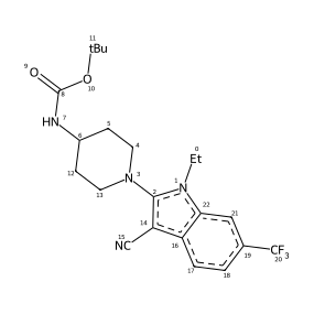 CCn1c(N2CCC(NC(=O)OC(C)(C)C)CC2)c(C#N)c2ccc(C(F)(F)F)cc21